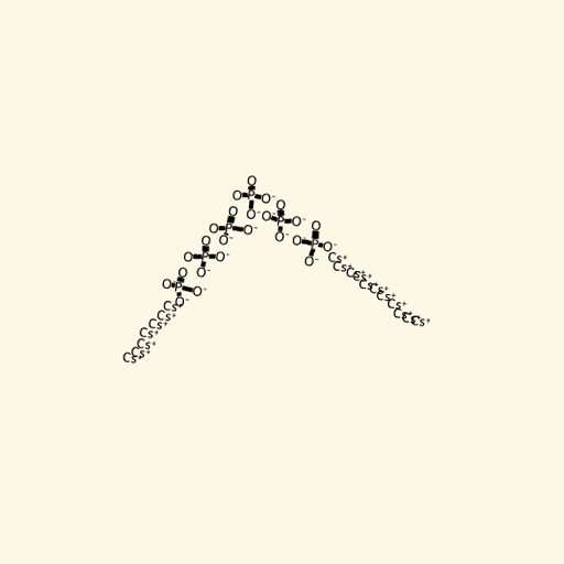 O=P([O-])([O-])[O-].O=P([O-])([O-])[O-].O=P([O-])([O-])[O-].O=P([O-])([O-])[O-].O=P([O-])([O-])[O-].O=P([O-])([O-])[O-].[Cs+].[Cs+].[Cs+].[Cs+].[Cs+].[Cs+].[Cs+].[Cs+].[Cs+].[Cs+].[Cs+].[Cs+].[Cs+].[Cs+].[Cs+].[Cs+].[Cs+].[Cs+]